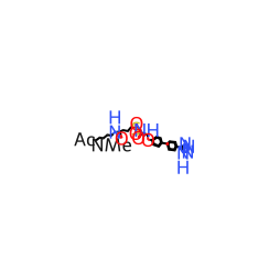 CN[C@@H](CCCCNC(=O)CCCS(=O)(=O)NC(=O)COc1ccc(-c2ccc(-c3nnn[nH]3)cc2)cc1)C(C)=O